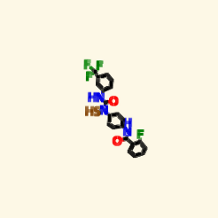 O=C(Nc1ccc(N(S)C(=O)Nc2cccc(C(F)(F)F)c2)cc1)c1ccccc1F